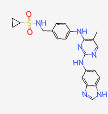 Cc1cnc(Nc2ccc3[nH]cnc3c2)nc1Nc1ccc(CNS(=O)(=O)C2CC2)cc1